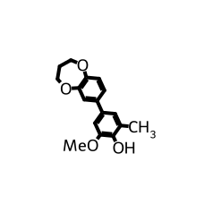 COc1cc(-c2ccc3c(c2)OCCCO3)cc(C)c1O